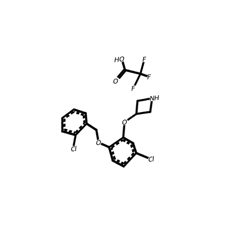 Clc1ccc(OCc2ccccc2Cl)c(OC2CNC2)c1.O=C(O)C(F)(F)F